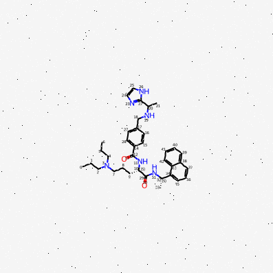 CCCN(CCC)CCC[C@H](NC(=O)c1ccc(CNC(C)c2ncc[nH]2)cc1)C(=O)N[C@@H](C)c1cccc2ccccc12